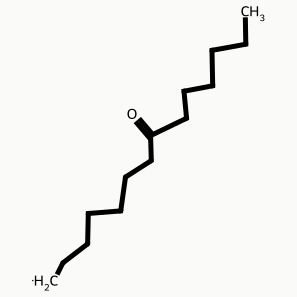 [CH2]CCCCCCC(=O)CCCCCC